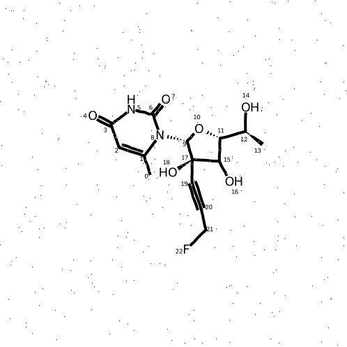 Cc1cc(=O)[nH]c(=O)n1[C@@H]1O[C@H]([C@H](C)O)C(O)[C@]1(O)C#CCF